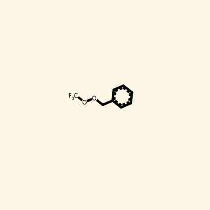 FC(F)(F)OOCc1ccccc1